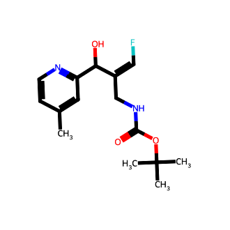 Cc1ccnc(C(O)/C(=C\F)CNC(=O)OC(C)(C)C)c1